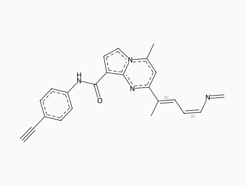 C#Cc1ccc(NC(=O)c2ccn3c(C)cc(/C(C)=C/C=C\N=C)nc23)cc1